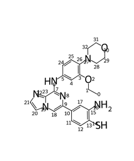 CCOc1cc(Nc2nc(-c3ccc(S)c(N)c3)cn3ccnc23)ccc1N1CCOCC1